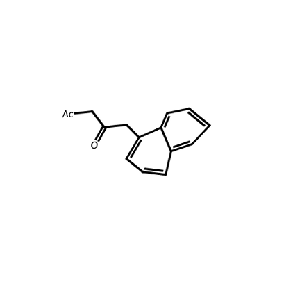 CC(=O)CC(=O)Cc1cccc2ccccc12